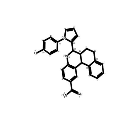 N=C(N)c1ccc2c(c1)C1c3ccccc3CCC1C(c1cccn1-c1ccc(Cl)cc1)N2